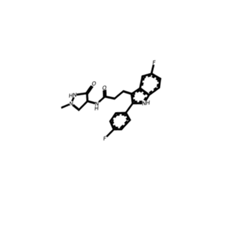 CN1CC(NC(=O)CCc2c(-c3ccc(F)cc3)[nH]c3ccc(F)cc23)C(=O)N1